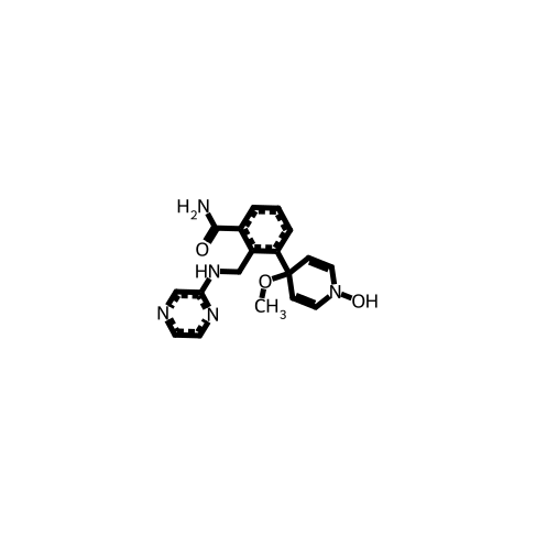 COC1(c2cccc(C(N)=O)c2CNc2cnccn2)C=CN(O)C=C1